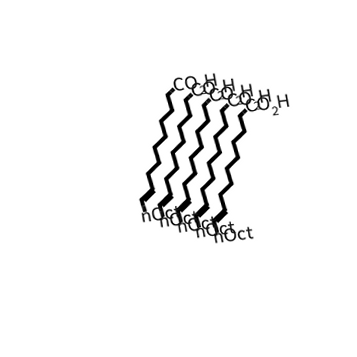 CCCCCCCCC=CCCCCCCCC(=O)O.CCCCCCCCC=CCCCCCCCC(=O)O.CCCCCCCCC=CCCCCCCCC(=O)O.CCCCCCCCC=CCCCCCCCC(=O)O.CCCCCCCCC=CCCCCCCCC(=O)O